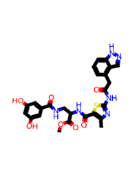 COC(=O)C(CNC(=O)c1cc(O)cc(O)c1)NC(=O)c1sc(NC(=O)Cc2cccc3[nH]ncc23)nc1C